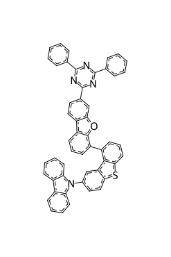 c1ccc(-c2nc(-c3ccccc3)nc(-c3ccc4c(c3)oc3c(-c5cccc6sc7ccc(-n8c9ccccc9c9ccccc98)cc7c56)cccc34)n2)cc1